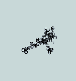 C[C@]12C=CC(=O)C=C1[C@@H](F)CC1C3C[C@@H](O)[C@](OC(=O)CCCO[N+](=O)[O-])(C(=O)COC(=O)CCNC(=O)CCCO[N+](=O)[O-])[C@@]3(C)C[C@H](O)[C@@]12F